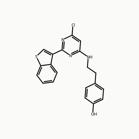 Oc1ccc(CCNc2cc(Cl)nc(-c3csc4ccccc34)n2)cc1